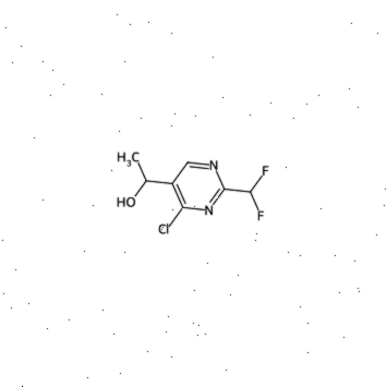 CC(O)c1cnc(C(F)F)nc1Cl